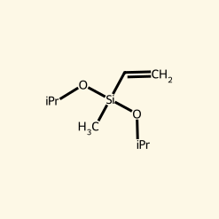 C=C[Si](C)(OC(C)C)OC(C)C